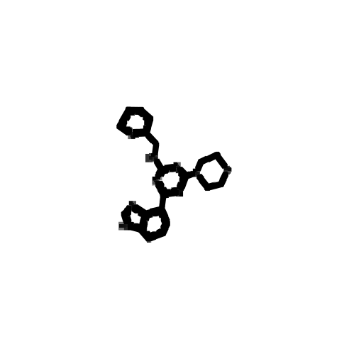 c1ccc(CNc2nc(-c3cccc4[nH]cnc34)nc(N3CCOCC3)n2)nc1